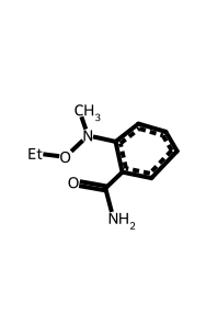 CCON(C)c1ccccc1C(N)=O